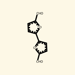 O=Cc1ccc(-c2ccc(C=O)o2)o1